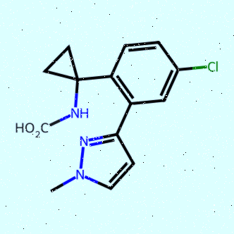 Cn1ccc(-c2cc(Cl)ccc2C2(NC(=O)O)CC2)n1